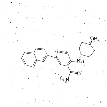 NC(=O)c1cc(-c2ccc3ccccc3c2)ccc1N[C@H]1CC[C@H](O)CC1